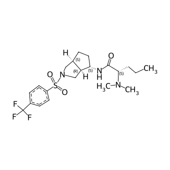 CCC[C@@H](C(=O)N[C@H]1CC[C@@H]2CN(S(=O)(=O)c3ccc(C(F)(F)F)cc3)C[C@@H]21)N(C)C